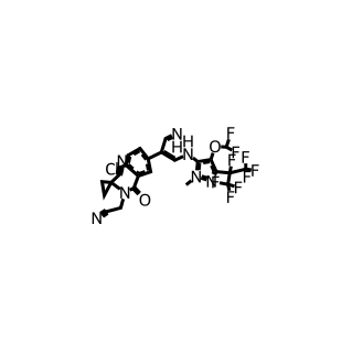 Cn1nc(C(F)(C(F)(F)F)C(F)(F)F)c(OC(F)F)c1N/C=C(\C=N)c1ccc(Cl)c(C(=O)N(CC#N)C2(C#N)CC2)c1